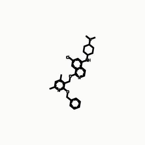 Cc1cc(C)c(COc2nccc3c(NC4CCC(N(C)C)CC4)cc(Cl)cc23)c(OCc2ccccc2)n1